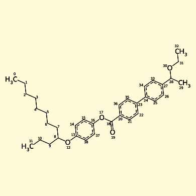 CCCCCCCCC(CCC)Oc1ccc(OC(=O)c2ccc(-c3ccc(C(C)OCC)cc3)cc2)cc1